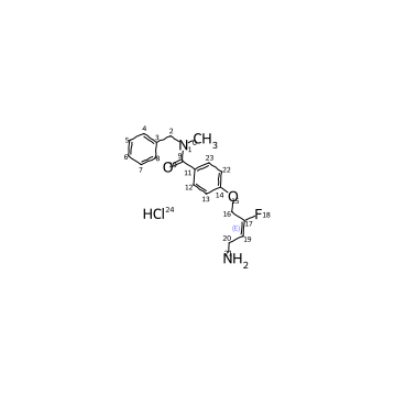 CN(Cc1ccccc1)C(=O)c1ccc(OC/C(F)=C\CN)cc1.Cl